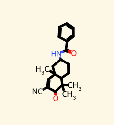 CC12C=C(C#N)C(=O)C(C)(C)C1CCC(NC(=O)c1ccccc1)C2